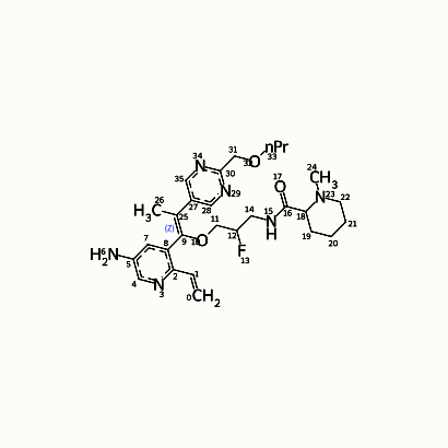 C=Cc1ncc(N)cc1/C(OCC(F)CNC(=O)C1CCCCN1C)=C(\C)c1cnc(COCCC)nc1